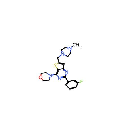 CN1CCN(Cc2cc3nc(-c4cccc(F)c4)nc(N4CCOCC4)c3s2)CC1